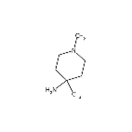 CN1CCC(N)(C(F)(F)F)CC1